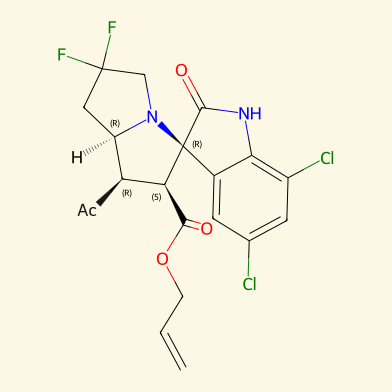 C=CCOC(=O)[C@H]1[C@@H](C(C)=O)[C@H]2CC(F)(F)CN2[C@]12C(=O)Nc1c(Cl)cc(Cl)cc12